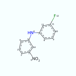 O=[N+]([O-])c1cccc(Nc2cccc(F)c2)c1